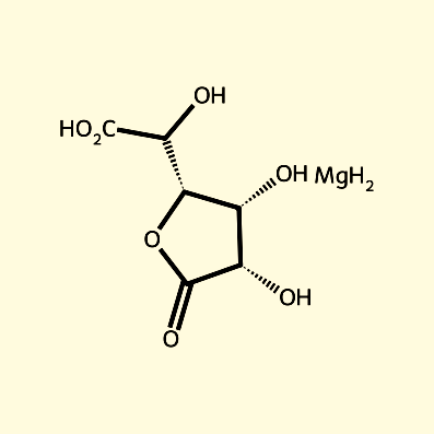 O=C(O)C(O)[C@H]1OC(=O)[C@@H](O)[C@H]1O.[MgH2]